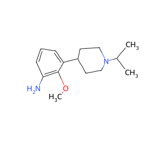 COc1c(N)cccc1C1CCN(C(C)C)CC1